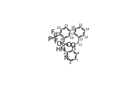 O=S(=O)(Nc1ncccc1OCc1ccccc1)c1ccccc1C(F)(F)F